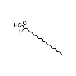 CCCCCCCC/C=C/CCCCCCC(CI)C(=O)O